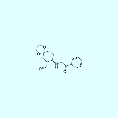 O=C[C@@H]1CC2(CC[C@H]1NCC(=O)c1ccccc1)OCCO2